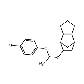 CCc1ccc(OC(C)OC2CC3CC2C2CCCC32)cc1